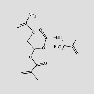 C=C(C)C(=O)OC(COC(N)=O)OC(N)=O.[CH2][CH]OC(=O)C(=C)C